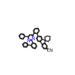 N#Cc1ccc2c(c1)C1(CCCCC1)c1cc(-c3ccccc3-c3cc(-c4ccccc4)nc(-c4ccccc4-c4ccccc4)n3)ccc1-2